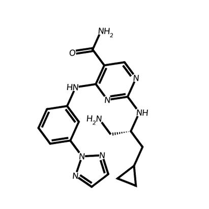 NC[C@@H](CC1CC1)Nc1ncc(C(N)=O)c(Nc2cccc(-n3nccn3)c2)n1